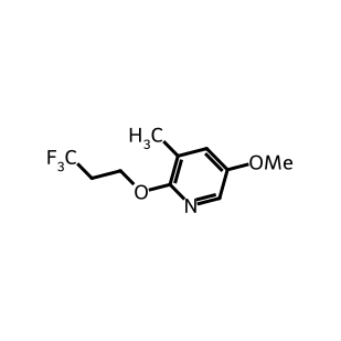 COc1cnc(OCCC(F)(F)F)c(C)c1